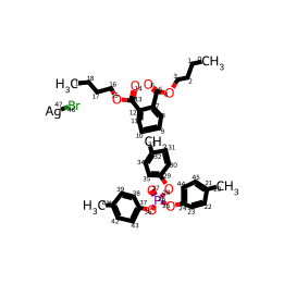 CCCCOC(=O)c1ccccc1C(=O)OCCCC.Cc1ccc(OP(=O)(Oc2ccc(C)cc2)Oc2ccc(C)cc2)cc1.[Br][Ag]